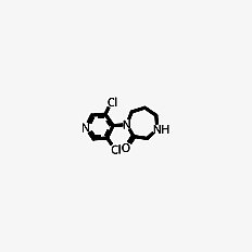 O=C1CNCCCN1c1c(Cl)cncc1Cl